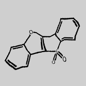 O=S1(=O)c2ccccc2-c2oc3ccccc3c21